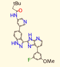 COc1cc(F)cc(-c2ccnc3[nH]c(-c4n[nH]c5ccc(-c6cncc(NC(=O)CC(C)(C)C)c6)cc45)nc23)c1